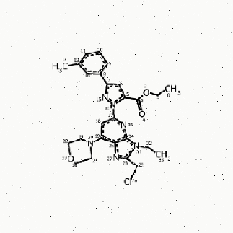 CCOC(=O)c1cc(-c2cccc(C)c2)nn1-c1cc(N2CCOCC2)c2nc(CCl)n(CC)c2n1